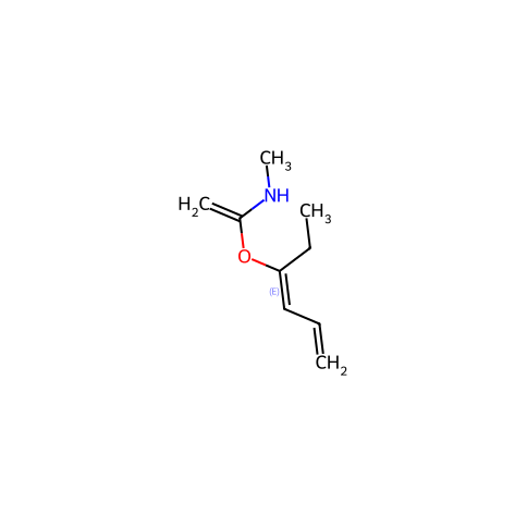 C=C/C=C(\CC)OC(=C)NC